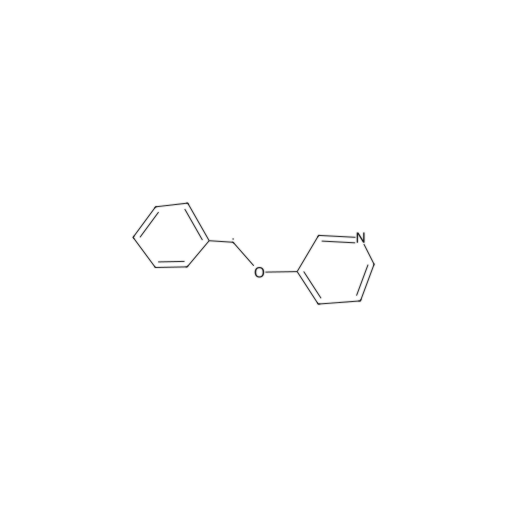 [CH](Oc1cccnc1)c1ccccc1